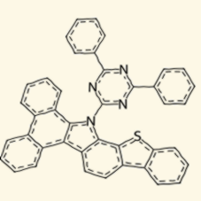 c1ccc(-c2nc(-c3ccccc3)nc(-n3c4c(ccc5c6ccccc6sc54)c4c5ccccc5c5ccccc5c43)n2)cc1